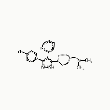 CN(C)CC1CCC(c2[nH]nc(-c3ccc(Cl)cc3)c2-c2ccncn2)CC1